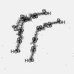 CC(C)(CCC(C)(C)CC(=O)OC(=O)CCCCCCC(=O)O)CC(=O)OC(=O)CCCCCCCC(=O)OC(=O)CC(C)(C)CCC(C)(C)CC(=O)OC(=O)CCCCCCC(=O)O.CC(C)(CCC(C)(C)CC(=O)OC(=O)CCCCCCC(=O)O)CC(=O)OC(=O)CCCCCCCC(=O)OC(=O)CC(C)(C)CCC(C)(C)CC(=O)OC(=O)CCCCCCC(=O)O.O=C(O)CCCCCCCCC(=O)O